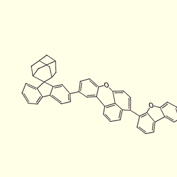 c1ccc2c(c1)-c1ccc(-c3ccc4c(c3)-c3cccc5c(-c6cccc7c6oc6ccccc67)ccc(c35)O4)cc1C21C2CC3CC(C2)CC1C3